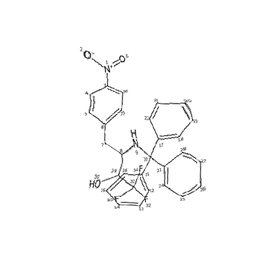 O=[N+]([O-])c1ccc(CC(NC(c2ccccc2)(c2ccccc2)c2ccccc2)C(O)C(F)(F)F)cc1